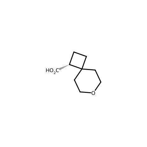 O=C(O)[C@@H]1CCC12CCOCC2